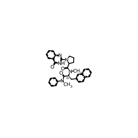 CN(C(=O)[C@H](Cc1ccc2ccccc2c1)N(C)C(=O)C1CCCN1c1nc2ccccc2c(=O)[nH]1)c1ccccc1